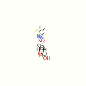 C=C/C(F)=C(/F)c1nn(CC(=O)[C@H]2CC[C@H]3[C@@H]4CC[C@H]5C[C@](C)(O)CC[C@]5(COC)[C@H]4CC[C@]23C)nc1C